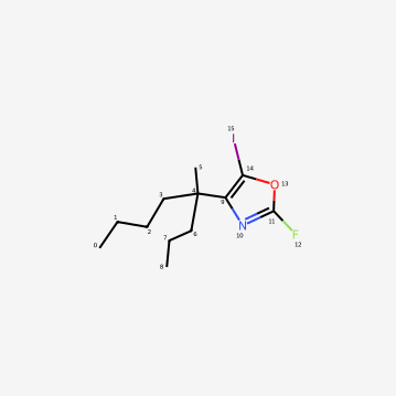 CCCCC(C)(CCC)c1nc(F)oc1I